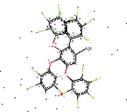 O=C(O)c1cc(Oc2c(F)c(F)c(F)c(F)c2F)c(Oc2c(F)c(F)c(F)c(F)c2F)c(Oc2c(F)c(F)c(F)c(F)c2F)c1-c1c(F)c(F)c(F)c(F)c1F